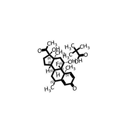 CC(=O)[C@@]1(O)CC[C@H]2[C@@H]3C[C@H](C)C4=CC(=O)C=C[C@]4(C)[C@@]3(F)[C@@H](O)C[C@@]21C.CC(C)(C)C(=O)O